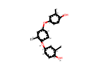 CCc1cc(Oc2ccc(O)c(C)c2)ccc1Oc1ccc(O)c(C)c1